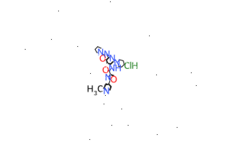 Cc1cc(-c2nc(C(=O)Nc3cc4oc(N5CCCC5)nc4nc3N3CCCCC3)co2)ccn1.Cl